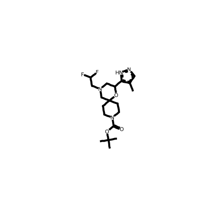 Cc1cn[nH]c1C1CN(CC(F)F)CC2(CCN(C(=O)OC(C)(C)C)CC2)O1